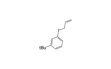 C=CC[I+]c1cccc(C(C)(C)C)c1